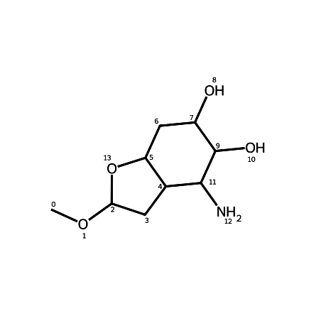 COC1CC2C(CC(O)C(O)C2N)O1